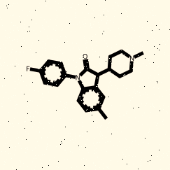 Cc1ccc2c(c1)C(C1CCN(C)CC1)C(=O)N2c1ccc(F)cc1